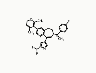 CC1=CCOC(C)=C1c1cnc2c(c1)CCC([C@H](C)c1ccc(F)cc1)C=C2c1cnn(C(F)F)c1